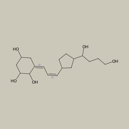 OCCCC(O)C1CCC(/C=C\C=C2\CC(O)CC(O)C2O)C1